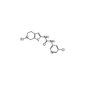 CCN1CCc2cc(NC(=O)Nc3cncc(Cl)c3)sc2C1